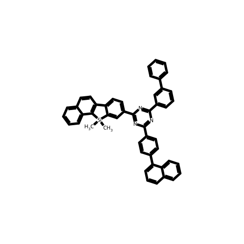 C[Si]1(C)c2cc(-c3nc(-c4ccc(-c5cccc6ccccc56)cc4)nc(-c4cccc(-c5ccccc5)c4)n3)ccc2-c2ccc3ccccc3c21